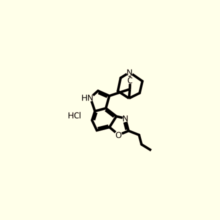 CCCc1nc2c(ccc3[nH]cc(C4CN5CCC4CC5)c32)o1.Cl